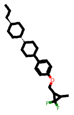 CCC[C@H]1CC[C@H](C2CCC(c3ccc(OCC4C(C)C4(F)F)cc3)CC2)CC1